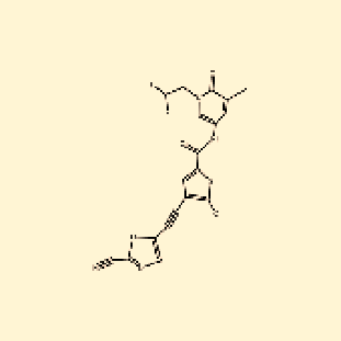 N#Cc1ncc(C#Cc2cc(C(=O)Nc3cc(F)c(=O)n(CC(F)F)c3)sc2Cl)o1